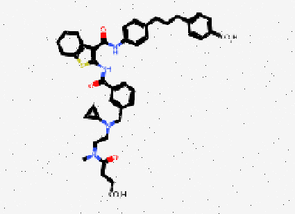 CN(CCN(Cc1cccc(C(=O)Nc2sc3c(c2C(=O)Nc2ccc(CCCc4ccc(C(=O)O)cc4)cc2)CCCC3)c1)C1CC1)C(=O)CCC(=O)O